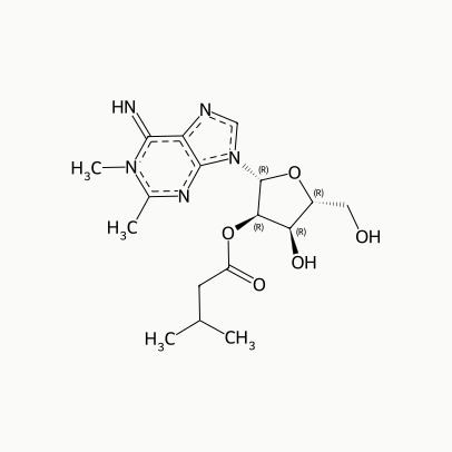 Cc1nc2c(ncn2[C@@H]2O[C@H](CO)[C@@H](O)[C@H]2OC(=O)CC(C)C)c(=N)n1C